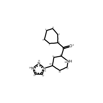 O=C(C1CCCCC1)C1CC(n2ccnn2)CCN1